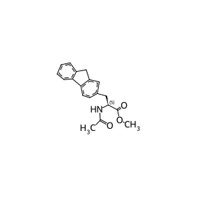 COC(=O)[C@H](Cc1ccc2c(c1)Cc1ccccc1-2)NC(C)=O